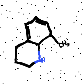 CC1C=CC=C2CCCNC21